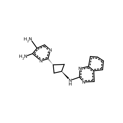 Nc1cnc([C@H]2C[C@H](Nc3ncc4ccccc4n3)C2)nc1N